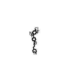 CN1CCC(CCCOc2ccc(-n3cnc4cc(Cl)c(F)cc43)cc2)CC1